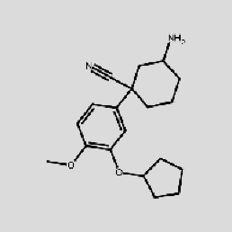 COc1ccc(C2(C#N)C[CH]CC(N)C2)cc1OC1CCCC1